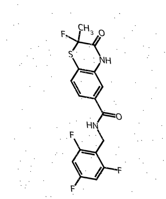 CC1(F)Sc2ccc(C(=O)NCc3c(F)cc(F)cc3F)cc2NC1=O